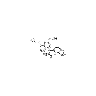 Cl.NCCOc1nc(Cl)cc2c1c(=O)[nH]c(=O)n2-c1ccc2ncsc2c1